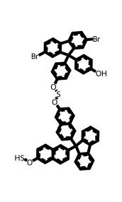 Oc1ccc(C2(c3ccc(OSOc4ccc5cc(C6(c7ccc8cc(OS)ccc8c7)c7ccccc7-c7ccccc76)ccc5c4)cc3)c3cc(Br)ccc3-c3ccc(Br)cc32)cc1